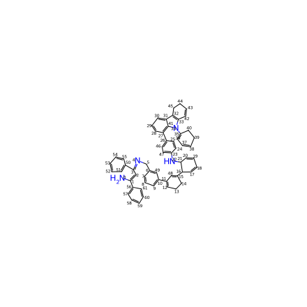 N/C(=C\C(=N/Cc1cccc(C2=CCCC(C3C=CC=CC3Nc3ccc(-c4cccc5c6c(n(C7=CC=CCC7)c45)C=CCC6)cc3)=C2)c1)c1ccccc1)c1ccccc1